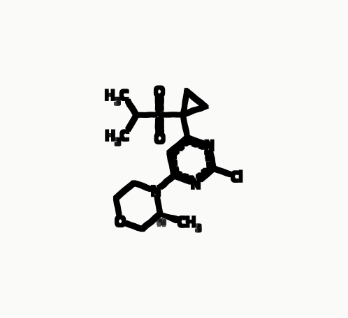 CC(C)S(=O)(=O)C1(c2cc(N3CCOC[C@@H]3C)nc(Cl)n2)CC1